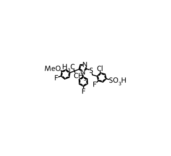 COc1cc(C(C)(C)c2cnc(SCc3c(F)cc(S(=O)(=O)O)cc3Cl)n2-c2ccc(F)cc2)ccc1F